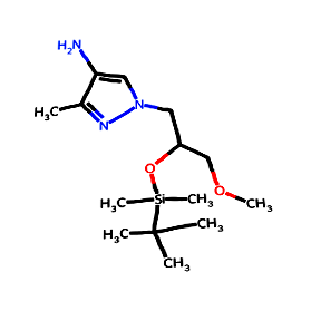 COCC(Cn1cc(N)c(C)n1)O[Si](C)(C)C(C)(C)C